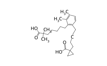 Cc1ccc(CCCCCC2(C(=O)O)CC2)c(CCCCCC(C)(C)C(=O)O)c1C